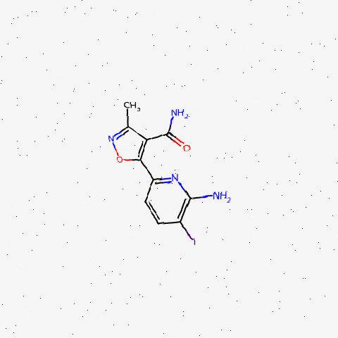 Cc1noc(-c2ccc(I)c(N)n2)c1C(N)=O